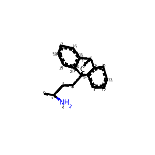 CC(N)CCC12CCC(c3ccccc31)c1ccccc12